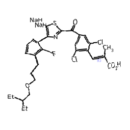 CCC(CC)COCCCc1cccc(-c2csc(C(=O)c3cc(Cl)c(/C=C(\C)C(=O)O)c(Cl)c3)n2)c1F.[NaH].[NaH]